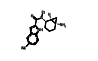 CCN(C(=O)c1cc2cc(C#N)ccc2[nH]1)[C@H]1CCC[C@]2(N)C[C@H]12